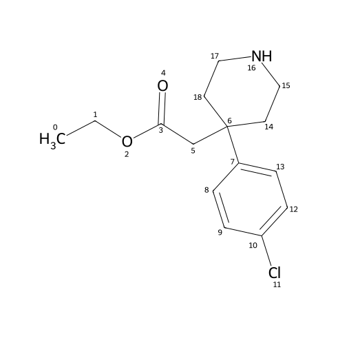 CCOC(=O)CC1(c2ccc(Cl)cc2)CCNCC1